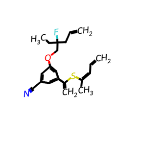 C=C/C=C(/C)SC(=C)c1cc(C#N)cc(OCC(F)(CC)CC=C)c1